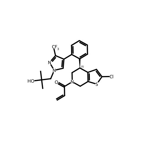 C=CC(=O)N1Cc2sc(Cl)cc2[C@H](c2ccccc2-c2cn(CC(C)(C)O)nc2C(F)(F)F)C1